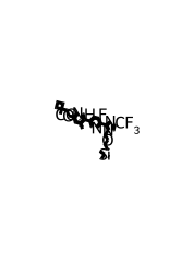 Cc1cc(OCC2(C(=O)O)CCC2)ncc1-c1cnc(-c2nc(C(F)(F)F)cn2COCC[Si](C)(C)C)c(F)c1